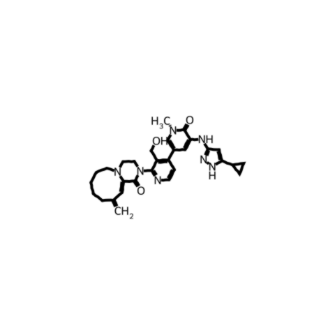 C=C1/C=C2/C(=O)N(c3nccc(-c4cc(Nc5cc(C6CC6)[nH]n5)c(=O)n(C)c4)c3CO)CCN2CCCCC1